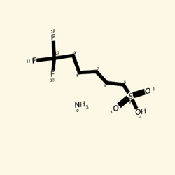 N.O=S(=O)(O)CCCCCC(F)(F)F